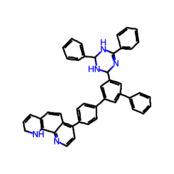 C1=Cc2ccc3c(-c4ccc(-c5cc(-c6ccccc6)cc(C6N=C(c7ccccc7)NC(c7ccccc7)N6)c5)cc4)ccnc3c2NC1